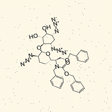 [N-]=[N+]=N[C@H]1C[C@@H](N=[N+]=[N-])[C@H](O)[C@@H](O)[C@@H]1O[C@H]1O[C@H]([C@@H](COCc2ccccc2)N(Cc2ccccc2)C(=O)OCc2ccccc2)CC[C@H]1N=[N+]=[N-]